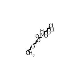 CCCCOCCCOC(=O)CNC(=O)CC(=O)C=C(Cl)Cl